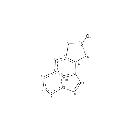 [O-][S+]1Cc2cc3cccc4c3c(c2C1)C=C4